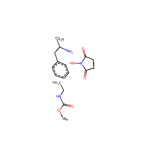 CC(C)(C)OC(=O)NCC(=O)O.NC(Cc1ccccc1)C(=O)O.O=C1CCC(=O)N1O